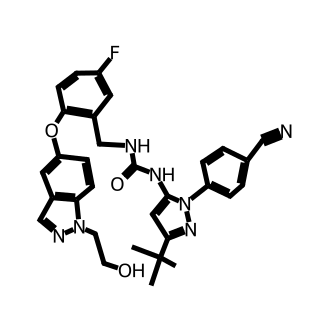 CC(C)(C)c1cc(NC(=O)NCc2cc(F)ccc2Oc2ccc3c(cnn3CCO)c2)n(-c2ccc(C#N)cc2)n1